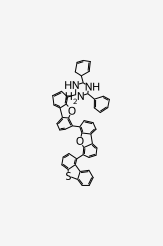 NC(NC(NCc1cccc2c1oc1c(-c3cccc4c3oc3c(-c5cccc6sc7ccccc7c56)cccc34)cccc12)C1C=CC=CC1)c1ccccc1